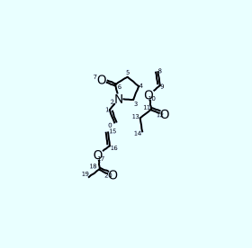 C=CN1CCCC1=O.C=COC(=O)CC.C=COC(C)=O